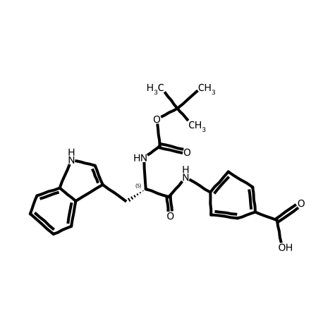 CC(C)(C)OC(=O)N[C@@H](Cc1c[nH]c2ccccc12)C(=O)Nc1ccc(C(=O)O)cc1